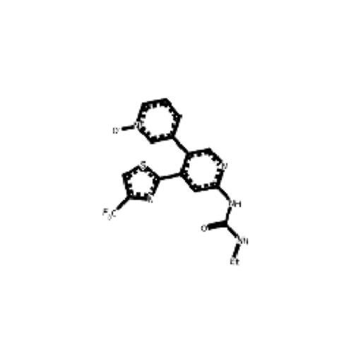 CCNC(=O)Nc1cc(-c2nc(C(F)(F)F)cs2)c(-c2ccc[n+]([O-])c2)cn1